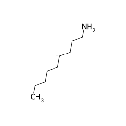 CCCCC[CH]CCCN